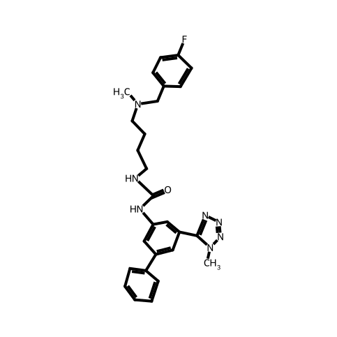 CN(CCCCNC(=O)Nc1cc(-c2ccccc2)cc(-c2nnnn2C)c1)Cc1ccc(F)cc1